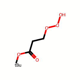 CC(C)(C)OC(=O)CCOOO